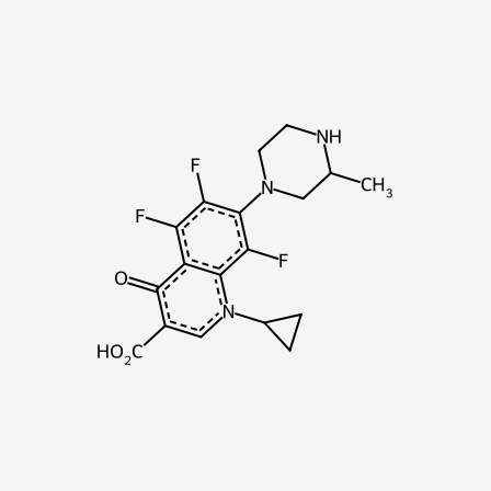 CC1CN(c2c(F)c(F)c3c(=O)c(C(=O)O)cn(C4CC4)c3c2F)CCN1